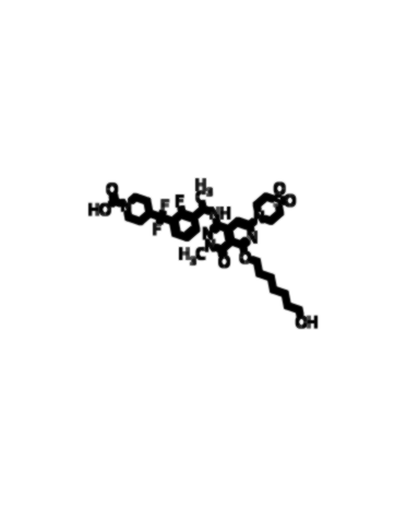 CC(Nc1nn(C)c(=O)c2c(OCCCCCCCO)nc(N3CCS(=O)(=O)CC3)cc12)c1cccc(C(F)(F)C2CCN(C(=O)O)CC2)c1F